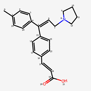 Cc1ccc(/C(=C/CN2CCCC2)c2ccc(/C=C/C(=O)O)cc2)cc1